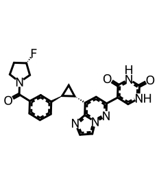 O=C(c1cccc([C@H]2C[C@@H]2c2cc(-c3c[nH]c(=O)[nH]c3=O)nn3ccnc23)c1)N1CC[C@H](F)C1